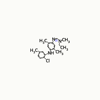 CCN(C)/C=N\c1cc(C)c(Nc2cc(C)ccc2Cl)cc1C